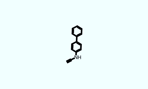 C#CNc1ccc(-c2ccccc2)cc1